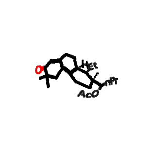 CCCC(OC(C)=O)[C@@]1(C)CCC2=C3CC(C)(C)C(=O)C=C3CC[C@H]2[C@@H]1CC